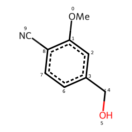 COc1cc([CH]O)ccc1C#N